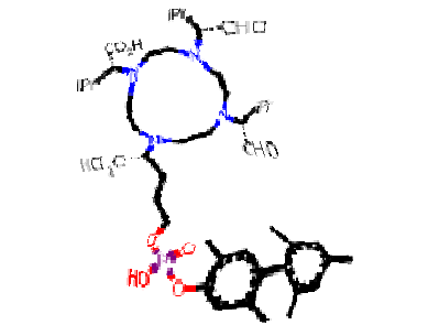 Cc1cc(C)c(-c2cc(C)c(OP(=O)(O)OCCC[C@H](C(=O)O)N3CCN([C@@H](C=O)C(C)C)CCN([C@@H](C=O)C(C)C)CCN([C@@H](C(=O)O)C(C)C)CC3)cc2C)c(C)c1